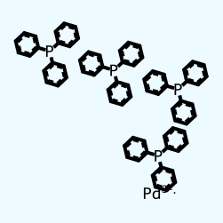 [Pd-3].c1ccc(P(c2ccccc2)c2ccccc2)cc1.c1ccc(P(c2ccccc2)c2ccccc2)cc1.c1ccc(P(c2ccccc2)c2ccccc2)cc1.c1ccc(P(c2ccccc2)c2ccccc2)cc1